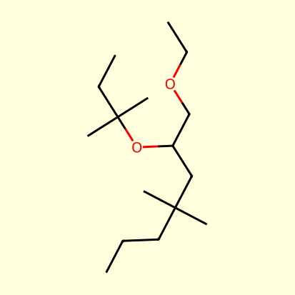 CCCC(C)(C)CC(COCC)OC(C)(C)CC